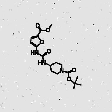 COC(=O)c1ccc(NC(=O)NC2CCN(C(=O)OC(C)(C)C)CC2)o1